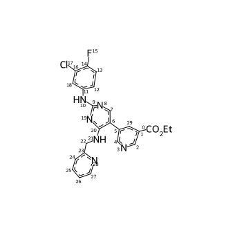 CCOC(=O)c1cncc(-c2cnc(Nc3ccc(F)c(Cl)c3)nc2NCc2ccccn2)c1